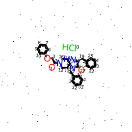 Cl.O=C(COc1ccccc1)N1CCC2(CC1)N[C@@H](Cc1ccccc1)C(=O)N2Cc1ccccc1